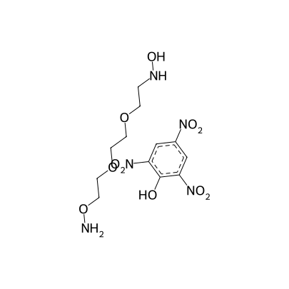 NOCCOCCOCCNO.O=[N+]([O-])c1cc([N+](=O)[O-])c(O)c([N+](=O)[O-])c1